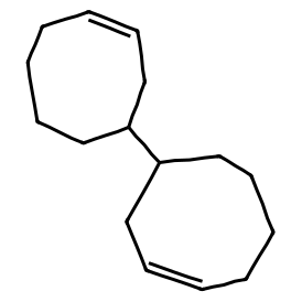 C1=CCC(C2CC=CCCCC2)CCCC1